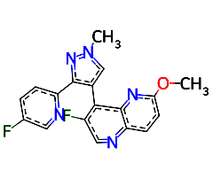 COc1ccc2ncc(F)c(-c3cn(C)nc3-c3ccc(F)cn3)c2n1